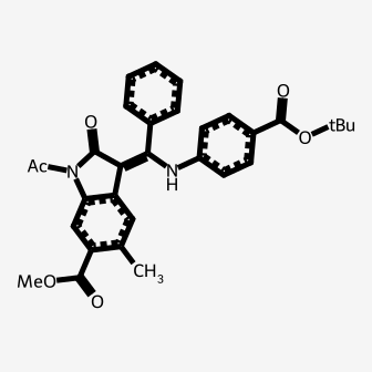 COC(=O)c1cc2c(cc1C)/C(=C(\Nc1ccc(C(=O)OC(C)(C)C)cc1)c1ccccc1)C(=O)N2C(C)=O